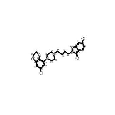 O=c1c2ccc(Cl)cc2sn1CCCCN1CCN(c2cc(Cl)cc3c2OCCO3)CC1